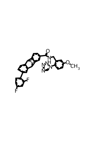 COc1ccc(-n2cnnn2)c(CNC(=O)c2ccc3c(c2)C2OC3c3ccc(-c4ccc(F)cc4F)cc32)c1